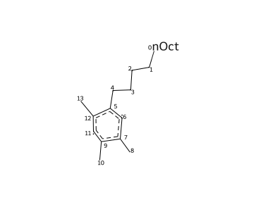 CCCCCCCCCCCCc1[c]c(C)c(C)[c]c1C